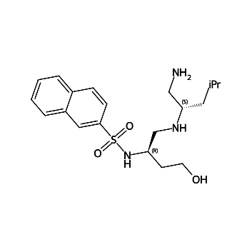 CC(C)C[C@@H](CN)NC[C@@H](CCO)NS(=O)(=O)c1ccc2ccccc2c1